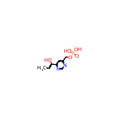 C/C=C(\O)c1cc(COP(=O)(O)O)ncn1